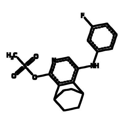 CS(=O)(=O)Oc1ncc(Nc2cccc(F)c2)c2c1C1CCC2CC1